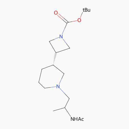 CC(=O)NC(C)CN1CCC[C@H](C2CN(C(=O)OC(C)(C)C)C2)C1